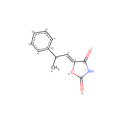 CC(/C=C1\OC(=O)NC1=O)c1ccccc1